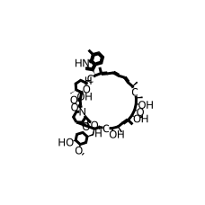 CO[C@H]1[C@@H](O)[C@H](C)C[C@H](C)/C=C/C=C/C=C(\C)[C@@H](c2c[nH]c3c(C)cccc23)C[C@@H]2CC[C@@H](C)[C@@](O)(O2)C(=O)C(=O)N2CCC3C[C@H]2C(=O)O[C@@H](C[C@H](O)[C@H](C)/C=C(\C)[C@H]1O)[C@H]3C[C@@H]1CC[C@@H](O)[C@H](OC)C1